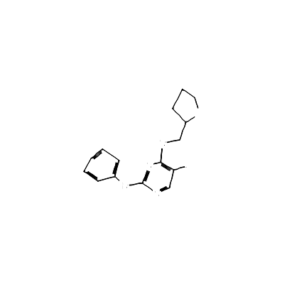 Clc1cnc(Nc2ccccc2)nc1NCC1CCCO1